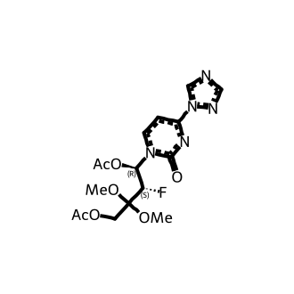 COC(COC(C)=O)(OC)[C@@H](F)[C@@H](OC(C)=O)n1ccc(-n2cncn2)nc1=O